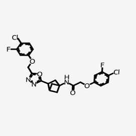 O=C(COc1ccc(Cl)c(F)c1)NC12CC(C1)C(c1nnc(COc3ccc(Cl)c(F)c3)o1)C2